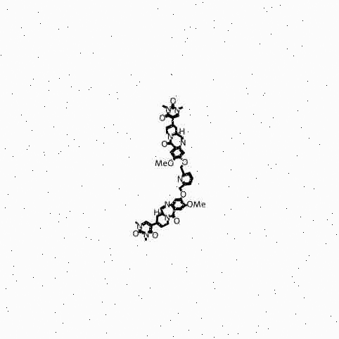 COc1cc2c(cc1OCc1cccc(COc3cc4c(cc3OC)C(=O)N3CC=C(c5cn(C)c(=O)n(C)c5=O)C[C@H]3C=N4)n1)N=C[C@@H]1CC(c3cn(C)c(=O)n(C)c3=O)=CCN1C2=O